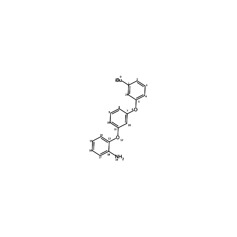 CCC(C)c1cccc(Oc2cccc(Oc3ccccc3N)c2)c1